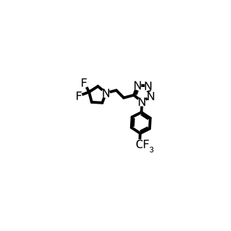 FC1(F)CCN(CCc2nnnn2-c2ccc(C(F)(F)F)cc2)C1